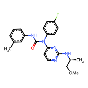 COC[C@H](C)Nc1nccc(N(C(=O)Nc2cccc(C)c2)c2ccc(F)cc2)n1